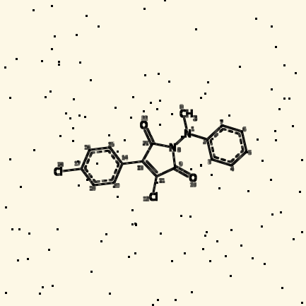 CN(c1ccccc1)N1C(=O)C(Cl)=C(c2ccc(Cl)cc2)C1=O